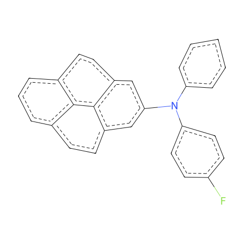 Fc1ccc(N(c2ccccc2)c2cc3ccc4cccc5ccc(c2)c3c45)cc1